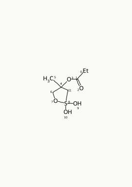 CCC(=O)OC1(C)COS(O)(O)C1